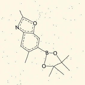 Cc1nc2cc(C)c(B3OC(C)(C)C(C)(C)O3)cc2o1